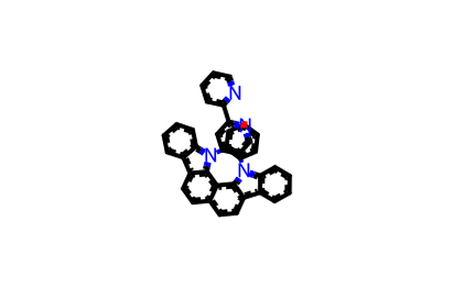 c1ccc(-n2c3ccccc3c3ccc4ccc5c6ccccc6n(-c6ccc(-c7ccccn7)nc6)c5c4c32)cc1